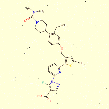 CCc1cc(OCc2cc(C)sc2-c2cccc(-n3ncc(C(=O)O)c3F)n2)ccc1C1CCN(C(=O)N(C)C)CC1